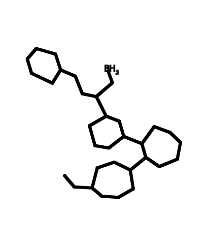 BCC(CCC1CCCCC1)C1CCCC(C2CCCCCC2C2CCCC(CC)CC2)C1